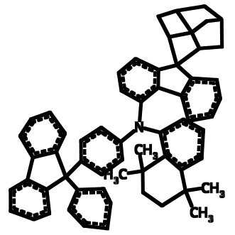 CC1(C)CCC(C)(C)c2c(N(c3ccc(C4(c5ccccc5)c5ccccc5-c5ccccc54)cc3)c3cccc4c3-c3ccccc3C43C4CC5CC6CC3C64C5)cccc21